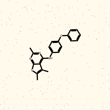 Cc1nc(Nc2ccc(Oc3ccccc3)cc2)c2c(C)c(C)sc2n1